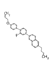 C=CCCc1ccc2cc(-c3ccc(-c4ccc(OCC=C)cc4)c(F)c3)ccc2c1